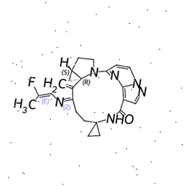 C=C1/C(=N\C=C(/C)F)CCC2(CC2)NC(=O)c2cnn3ccc(nc23)N2CC[C@H]3C[C@]132